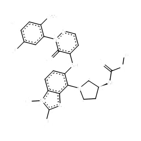 COc1ccc(F)cc1-n1nccc(Nc2ccc3c(nc(C)n3C)c2N2CC[C@H](NC(=O)OC(C)(C)C)C2)c1=O.Cl